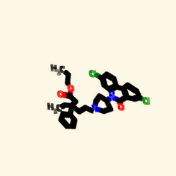 CCCOC(=O)CC(CC)(CCCN1CCC(NC(=O)c2cc(Cl)ccc2-c2ccc(Cl)cc2)CC1)c1ccccc1